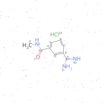 CNC(=O)c1cccc(C(=N)N)c1.Cl